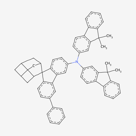 CC1(C)c2ccccc2-c2ccc(N(c3ccc4c(c3)-c3cc(-c5ccccc5)ccc3C43C4CC5CC6CC3C56C4)c3ccc4c(c3)C(C)(C)c3ccccc3-4)cc21